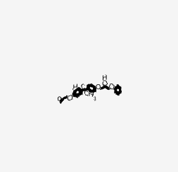 CC(C)(c1ccc(OCC(O)COc2ccccc2)cc1)c1ccc(OCC2CO2)cc1